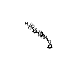 COC(=O)c1ccc(-c2ncc(CNCCOc3ccccc3)cn2)s1